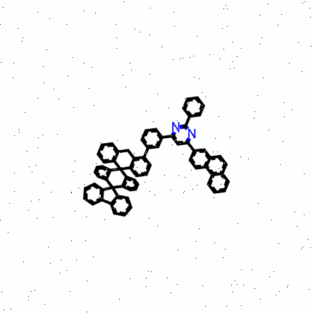 c1ccc(-c2nc(-c3cccc(-c4cccc5c4Cc4ccccc4C54c5ccccc5C5(c6ccccc6-c6ccccc65)c5ccccc54)c3)cc(-c3ccc4c(ccc5ccccc54)c3)n2)cc1